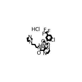 Cl.Cl.O=C(NCCCn1ccnc1)c1nccnc1NS(=O)(=O)c1cccc(C(F)(F)F)c1